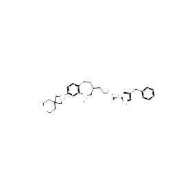 CN1C(=O)C(CCNC(=O)n2cc(Cc3ccccc3)cn2)CCc2ccc(N3CC4(CCOCC4)C3)cc21